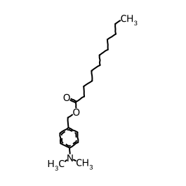 CCCCCCCCCCCC(=O)OCc1ccc(N(C)C)cc1